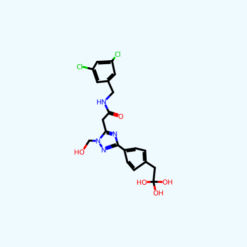 O=C(Cc1nc(-c2ccc(CC(O)(O)O)cc2)nn1CO)NCc1cc(Cl)cc(Cl)c1